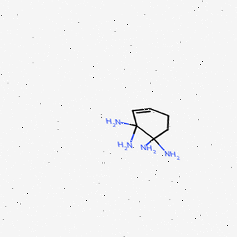 NC1(N)C=CCCC1(N)N